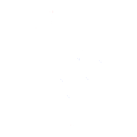 Cc1cnc(N/C(C=N)=C/NC2CCCOC2)nc1-c1ccc(C(=O)O)cc1